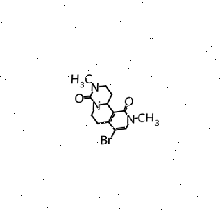 CN1CCC2c3c(c(Br)cn(C)c3=O)CCN2C1=O